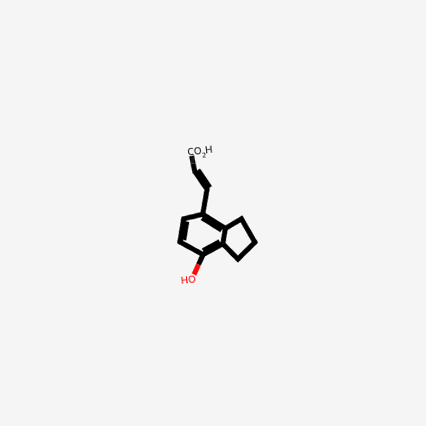 O=C(O)C=Cc1ccc(O)c2c1CCC2